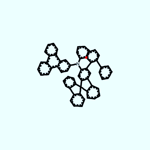 c1ccc(-c2ccccc2-c2cc3c(cc2N(c2ccccc2)c2ccc4c5ccccc5c5ccccc5c4c2)C2(c4ccccc4-c4ccccc42)c2ccccc2-3)cc1